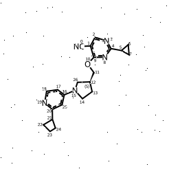 N#Cc1cnc(C2CC2)nc1OC[C@H]1CCN(c2ccnc(C3CCC3)c2)C1